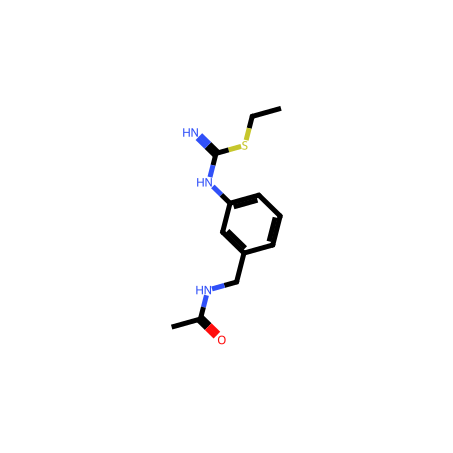 CCSC(=N)Nc1cccc(CNC(C)=O)c1